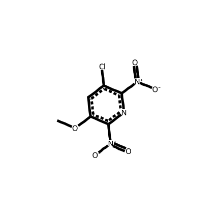 COc1cc(Cl)c([N+](=O)[O-])nc1[N+](=O)[O-]